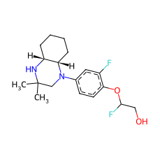 CC1(C)CN(c2ccc(OC(F)CO)c(F)c2)[C@H]2CCCC[C@H]2N1